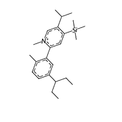 CCC(CC)c1ccc(C)c(-c2cc([Si](C)(C)C)c(C(C)C)c[n+]2C)c1